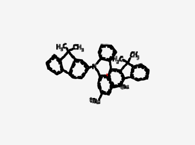 CC(C)(C)c1cc(N(c2ccc3c(c2)C(C)(C)c2ccccc2-3)c2ccccc2-c2cccc3c2C(C)(C)c2ccccc2-3)cc(C(C)(C)C)c1